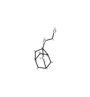 ClCOC12CC3CC(CC1C3)C2